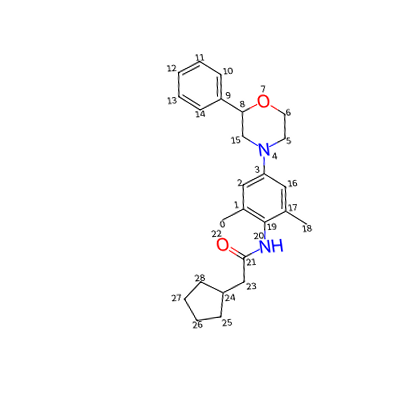 Cc1cc(N2CCOC(c3ccccc3)C2)cc(C)c1NC(=O)CC1CCCC1